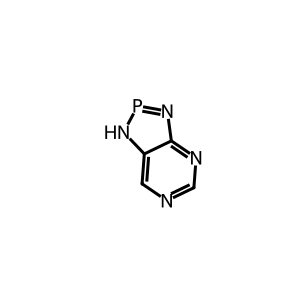 c1ncc2[nH]pnc2n1